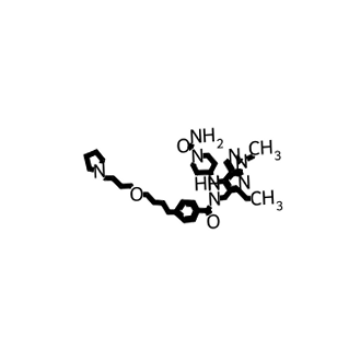 CCc1nc2c(cnn2CC)c(NC2CCN(C(N)=O)CC2)c1CNC(=O)c1ccc(CCCCOCCCCN2CCCC2)cc1